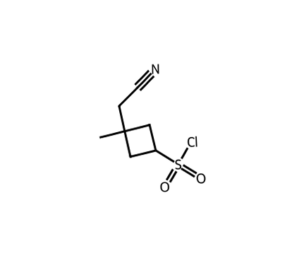 CC1(CC#N)CC(S(=O)(=O)Cl)C1